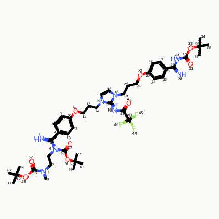 CN(CCN(C(=N)c1ccc(OCCCn2ccn(CCCOc3ccc(C(=N)NC(=O)OC(C)(C)C)cc3)/c2=N\C(=O)C(F)(F)F)cc1)C(=O)OC(C)(C)C)C(=O)OC(C)(C)C